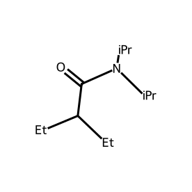 CCC(CC)C(=O)N(C(C)C)C(C)C